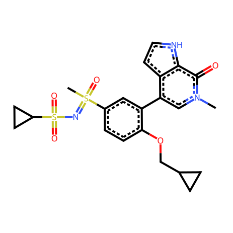 Cn1cc(-c2cc(S(C)(=O)=NS(=O)(=O)C3CC3)ccc2OCC2CC2)c2cc[nH]c2c1=O